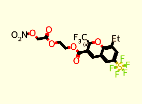 CCc1cc(S(F)(F)(F)(F)F)cc2c1O[C@H](C(F)(F)F)C(C(=O)OCCOC(=O)CO[N+](=O)[O-])=C2